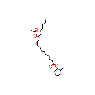 C=C1CCCCC1OC(=O)CCCCCCC/C=C\C[C@@H](CCCCCC)OC(C)=O